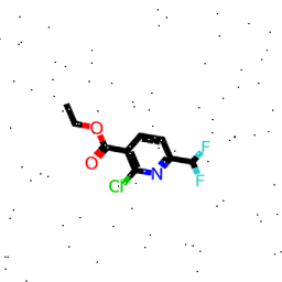 CCOC(=O)c1ccc(C(F)F)nc1Cl